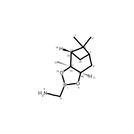 CC1(C)C2C[C@H]3OB(CN)O[C@@]3(C)[C@H]1C2